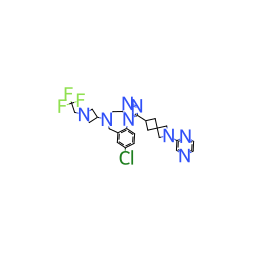 FC(F)(F)CN1CC(N2Cc3cc(Cl)ccc3-n3c(nnc3C3CC4(C3)CN(c3cnccn3)C4)C2)C1